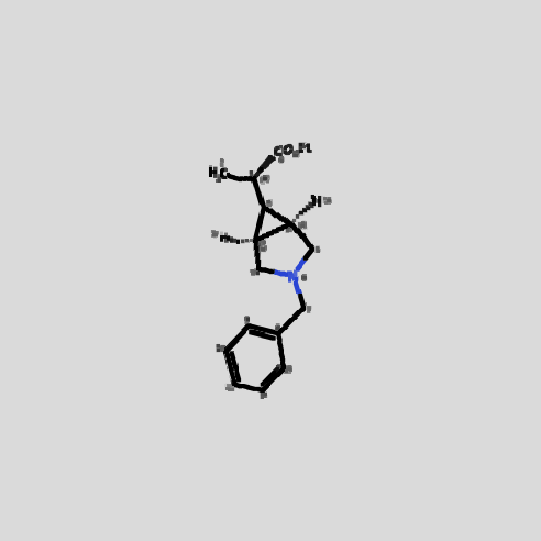 CCOC(=O)[C@H](C)C1[C@H]2CN(Cc3ccccc3)C[C@@H]12